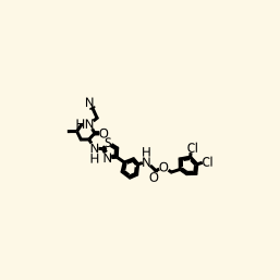 CC(C)CC(Nc1nc(-c2cccc(NC(=O)OCc3ccc(Cl)c(Cl)c3)c2)cs1)C(=O)NCC#N